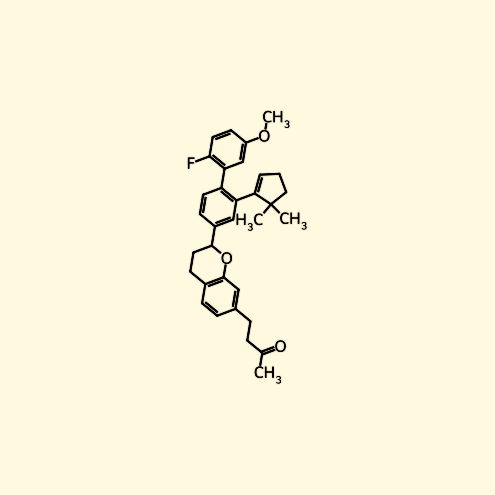 COc1ccc(F)c(-c2ccc(C3CCc4ccc(CCC(C)=O)cc4O3)cc2C2=CCCC2(C)C)c1